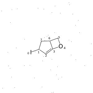 IC1C=C2OCC2C1